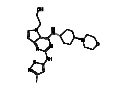 Cc1cc(Nc2nc(N[C@H]3CC[C@H](N4CCOCC4)CC3)c3c(ccn3CCO)n2)sn1